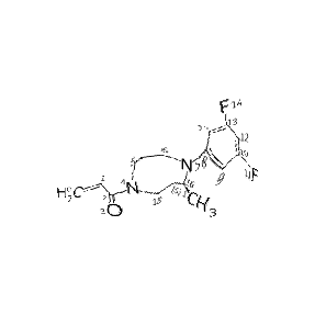 C=CC(=O)N1CCN(c2cc(F)cc(F)c2)[C@@H](C)C1